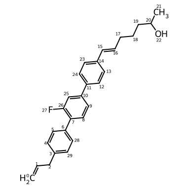 C=CCc1ccc(-c2ccc(-c3ccc(C=CCCCC(C)O)cc3)cc2F)cc1